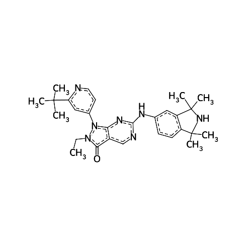 CCn1c(=O)c2cnc(Nc3ccc4c(c3)C(C)(C)NC4(C)C)nc2n1-c1ccnc(C(C)(C)C)c1